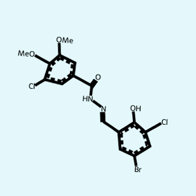 COc1cc(C(=O)NN=Cc2cc(Br)cc(Cl)c2O)cc(Cl)c1OC